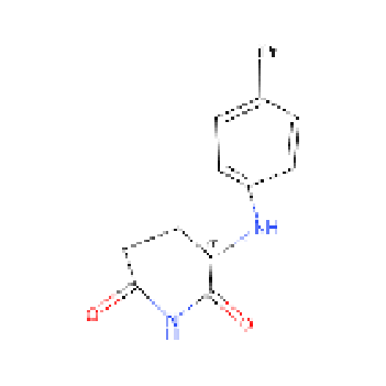 CC(C)c1ccc(N[C@H]2CCC(=O)NC2=O)cc1